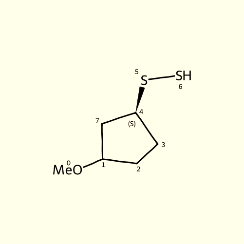 COC1CC[C@H](SS)C1